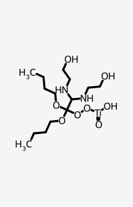 CCCCOC(OCCCC)(O[O][Ti](=[O])[OH])C(NCCO)NCCO